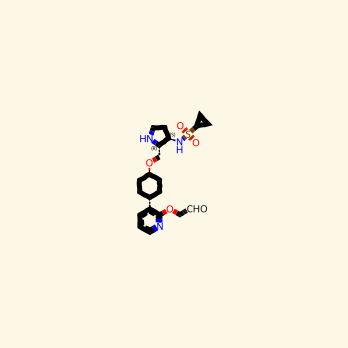 O=CCOc1ncccc1[C@H]1CC[C@@H](OC[C@@H]2NCC[C@@H]2NS(=O)(=O)C2CC2)CC1